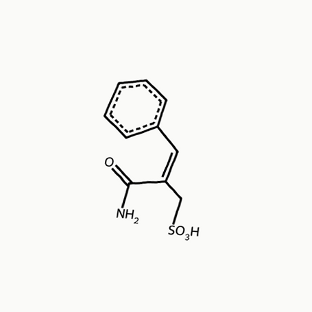 NC(=O)C(=Cc1ccccc1)CS(=O)(=O)O